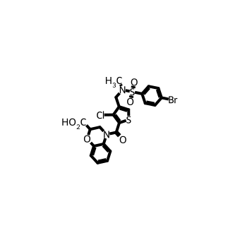 CN(Cc1csc(C(=O)N2CC(C(=O)O)Oc3ccccc32)c1Cl)S(=O)(=O)c1ccc(Br)cc1